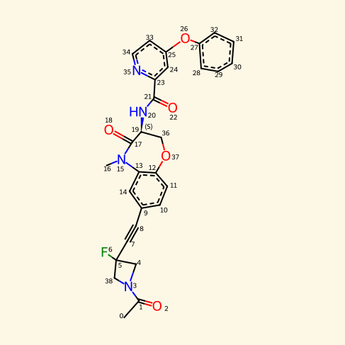 CC(=O)N1CC(F)(C#Cc2ccc3c(c2)N(C)C(=O)[C@@H](NC(=O)c2cc(Oc4ccccc4)ccn2)CO3)C1